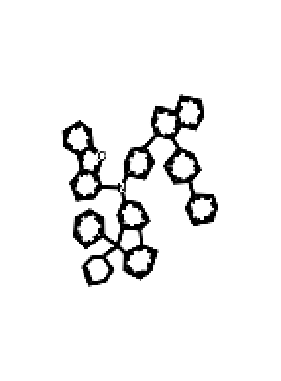 C1=CCC(C2(c3ccccc3)c3ccccc3-c3ccc(N(c4ccc(-c5ccc6ccccc6c5-c5ccc(-c6ccccc6)cc5)cc4)c4cccc5c4oc4ccccc45)cc32)CC1